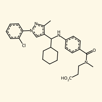 Cc1nn(-c2ccccc2Cl)cc1C(Nc1ccc(C(=O)N(C)CCC(=O)O)cc1)C1CCCCC1